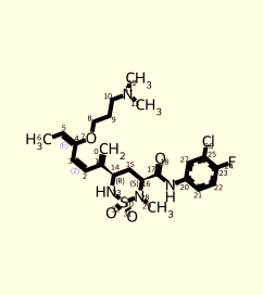 C=C(/C=C\C(=C/C)OCCCN(C)C)[C@H]1C[C@@H](C(=O)Nc2ccc(F)c(Cl)c2)N(C)S(=O)(=O)N1